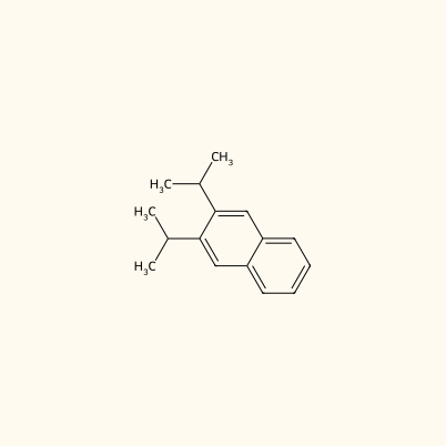 CC(C)c1cc2ccccc2cc1C(C)C